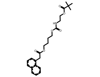 CC(C)(C)C(=O)OCCNC(=O)OCCCCOC(=O)Cc1cccc2ccccc12